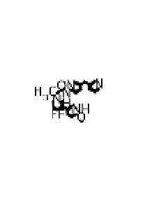 CC(C(=O)Nc1ccc(Cc2cccnc2)cn1)N1CCC(F)(F)C(c2ccc(=O)[nH]c2)C1